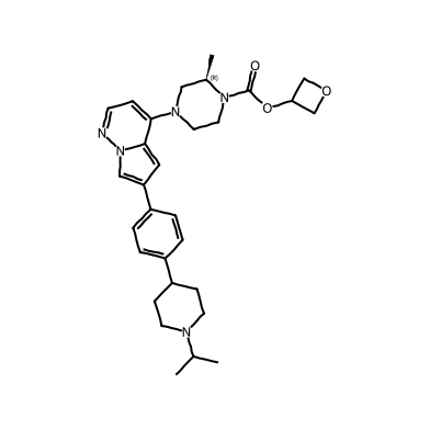 CC(C)N1CCC(c2ccc(-c3cc4c(N5CCN(C(=O)OC6COC6)[C@H](C)C5)ccnn4c3)cc2)CC1